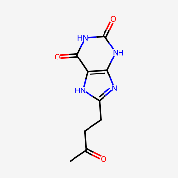 CC(=O)CCc1nc2[nH]c(=O)[nH]c(=O)c2[nH]1